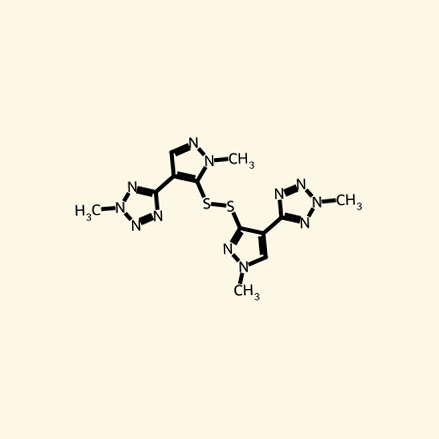 Cn1cc(-c2nnn(C)n2)c(SSc2c(-c3nnn(C)n3)cnn2C)n1